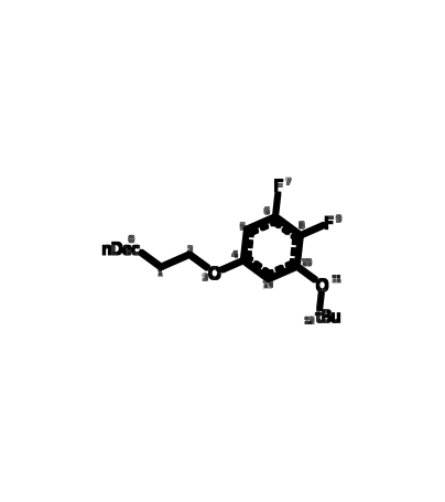 CCCCCCCCCCCCOc1cc(F)c(F)c(OC(C)(C)C)c1